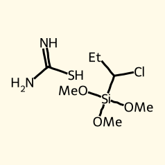 CCC(Cl)[Si](OC)(OC)OC.N=C(N)S